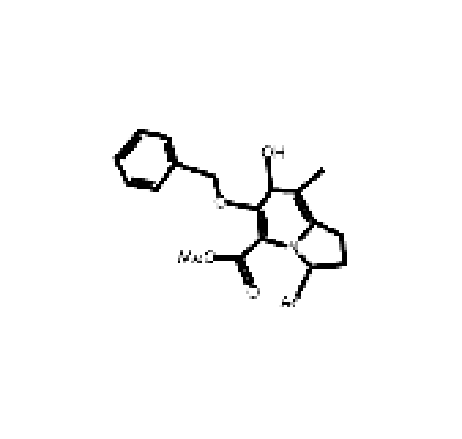 COC(=O)C1=C(OCc2ccccc2)C(O)C(I)=C2CCC(C(C)=O)N21